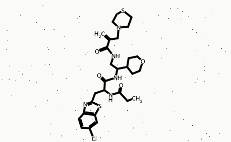 C=C(CN1CCSCC1)C(=O)NCC(NC(=O)C(Cc1nc2ccc(Cl)cc2s1)NC(=O)CC)C1CCOCC1